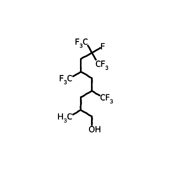 CC(CO)CC(CC(CC(F)(C(F)(F)F)C(F)(F)F)C(F)(F)F)C(F)(F)F